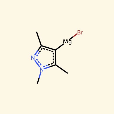 Cc1nn(C)c(C)[c]1[Mg][Br]